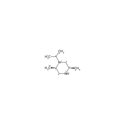 CC(C)N1C[C@@H](C)NC[C@H]1C